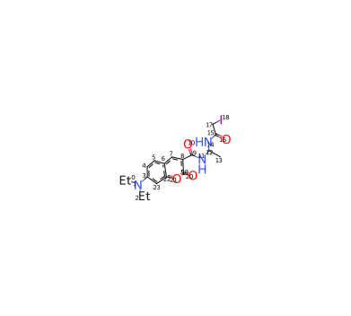 CCN(CC)c1ccc2cc(C(=O)NC(C)NC(=O)CI)c(=O)oc2c1